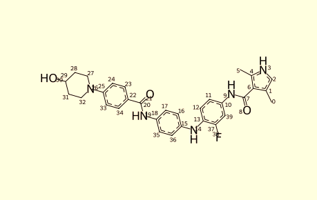 Cc1c[nH]c(C)c1C(=O)Nc1ccc(Nc2ccc(NC(=O)c3ccc(N4CCC(O)CC4)cc3)cc2)c(F)c1